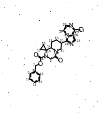 O=C1CN(C(=O)OCc2ccccc2)C2(CC2)C2CCC(c3ncc4c(Cl)nccn34)CN12